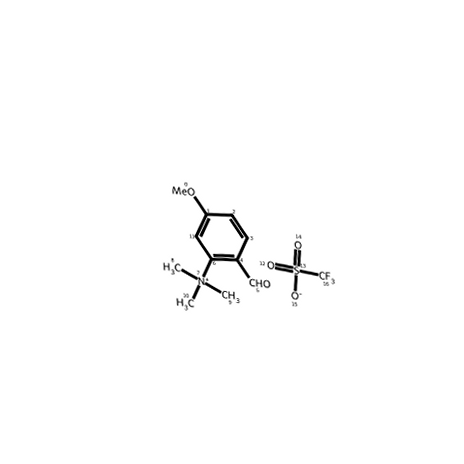 COc1ccc(C=O)c([N+](C)(C)C)c1.O=S(=O)([O-])C(F)(F)F